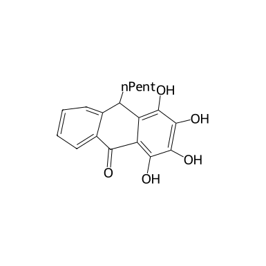 CCCCCC1c2ccccc2C(=O)c2c(O)c(O)c(O)c(O)c21